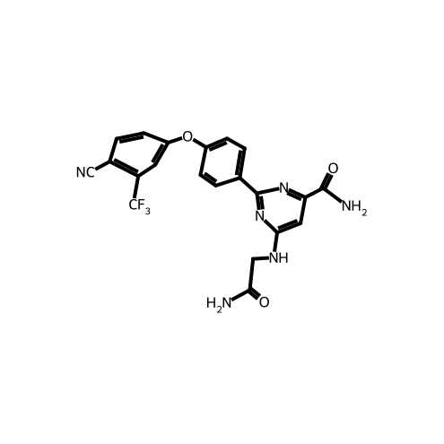 N#Cc1ccc(Oc2ccc(-c3nc(NCC(N)=O)cc(C(N)=O)n3)cc2)cc1C(F)(F)F